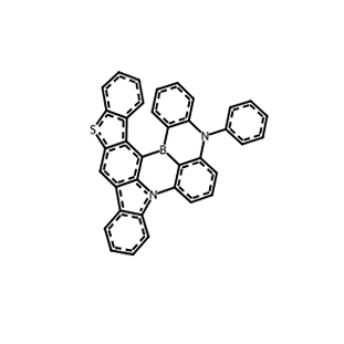 c1ccc(N2c3ccccc3B3c4c2cccc4-n2c4ccccc4c4cc5sc6ccccc6c5c3c42)cc1